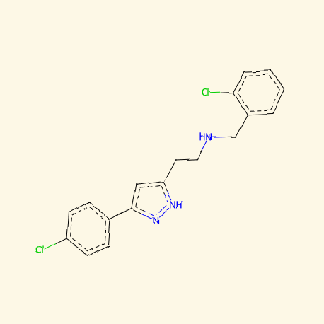 Clc1ccc(-c2cc(CCNCc3ccccc3Cl)[nH]n2)cc1